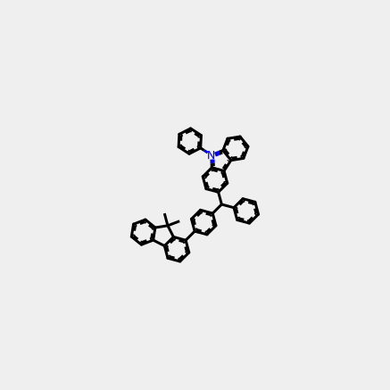 CC1(C)c2ccccc2-c2cccc(-c3ccc(C(c4ccccc4)c4ccc5c(c4)c4ccccc4n5-c4ccccc4)cc3)c21